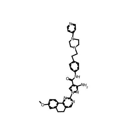 COc1ccc2c(c1)CCc1cnc(-n3cc(C(=O)Nc4ccc(CCN5CCN(c6ccncc6)CC5)cc4)c(N)n3)nc1-2